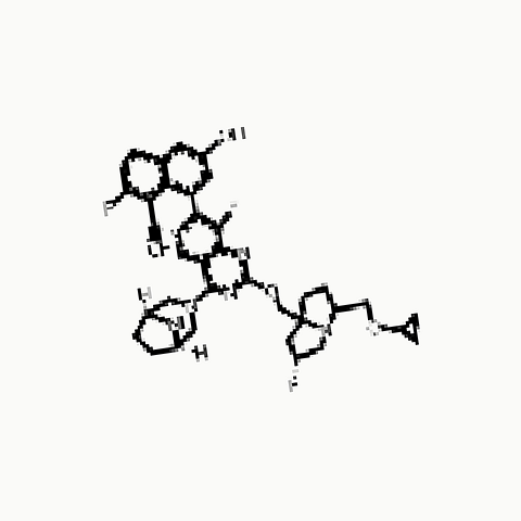 C#Cc1c(F)ccc2cc(O)cc(-c3ncc4c(N5C[C@H]6CC[C@@H](C5)N6)nc(OCC56CCC(COC7CC7)N5C[C@H](F)C6)nc4c3F)c12